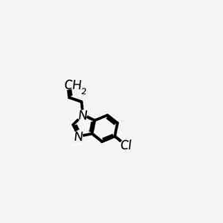 C=CCn1cnc2cc(Cl)ccc21